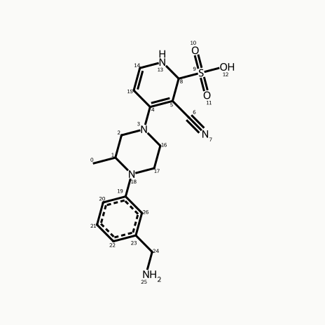 CC1CN(C2=C(C#N)C(S(=O)(=O)O)NC=C2)CCN1c1cccc(CN)c1